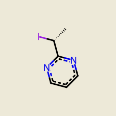 C[C@@H](I)c1ncccn1